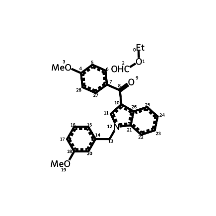 CCOC=O.COc1ccc(C(=O)c2cn(Cc3cccc(OC)c3)c3ccccc23)cc1